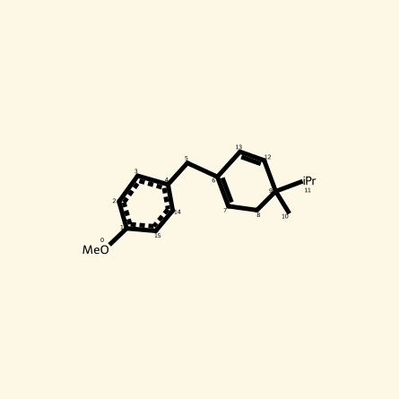 COc1ccc(CC2=CCC(C)(C(C)C)C=C2)cc1